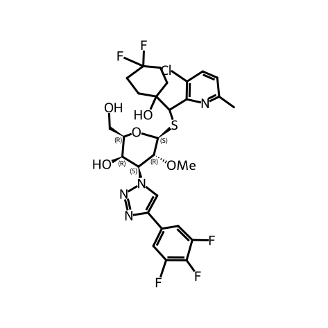 CO[C@@H]1[C@@H](n2cc(-c3cc(F)c(F)c(F)c3)nn2)[C@@H](O)[C@@H](CO)O[C@H]1SC(c1nc(C)ccc1Cl)C1(O)CCC(F)(F)CC1